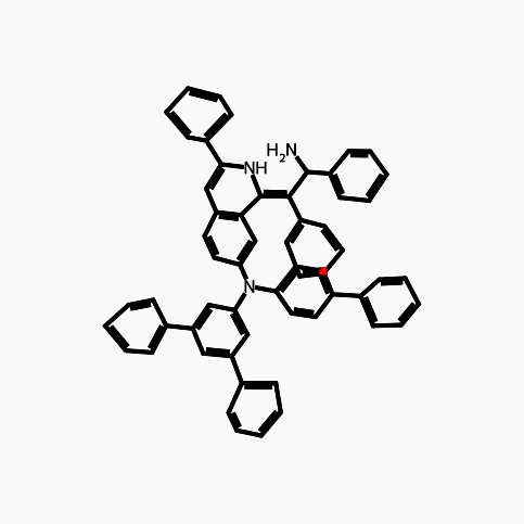 NC(/C(=C1\NC(c2ccccc2)=Cc2ccc(N(c3ccc(-c4ccccc4)cc3)c3cc(-c4ccccc4)cc(-c4ccccc4)c3)cc21)c1ccccc1)c1ccccc1